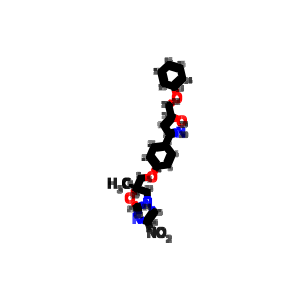 C[C@]1(COc2ccc(-c3cc(COc4ccccc4)on3)cc2)Cn2cc([N+](=O)[O-])nc2O1